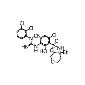 CC[N+]1(NS(=O)(=O)c2c(Cl)ccc(NC(=N)N(C#N)c3cccc(Cl)c3Cl)c2O)CCOCC1